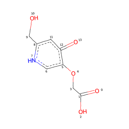 O=C(O)COc1c[nH]c(CO)cc1=O